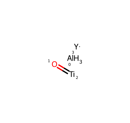 [AlH3].[O]=[Ti].[Y]